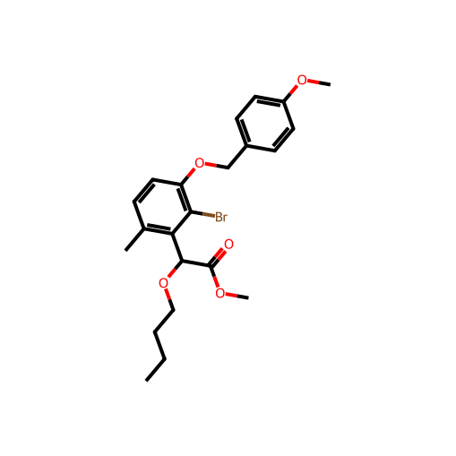 CCCCOC(C(=O)OC)c1c(C)ccc(OCc2ccc(OC)cc2)c1Br